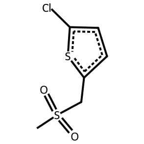 CS(=O)(=O)Cc1ccc(Cl)s1